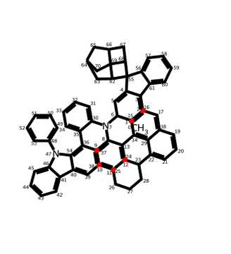 CC1C=C2C(=CC1N(c1ccccc1-c1cccc3cccc(C4CCCCC4)c13)c1ccccc1-c1cccc3c4ccccc4n(-c4ccccc4)c13)C1(c3ccccc32)C2CC3CC4CC1C42C3